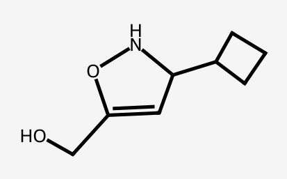 OCC1=CC(C2CCC2)NO1